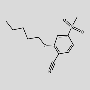 CCCCCOc1cc(S(C)(=O)=O)ccc1C#N